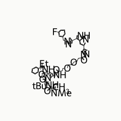 CC[C@@H](NC(=O)[C@@H]1C[C@H](NC(=O)CCOCCOCCC(=O)n2cc(-c3cnc4[nH]cc(-c5cnn(Cc6cccc(F)c6)c5)c4c3)cn2)CN1C(=O)[C@@H](NC(=O)[C@H](C)NC)C(C)(C)C)c1ccccc1